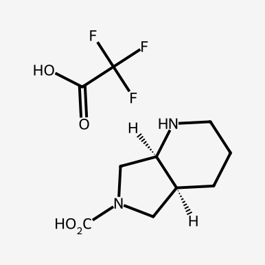 O=C(O)C(F)(F)F.O=C(O)N1C[C@@H]2CCCN[C@@H]2C1